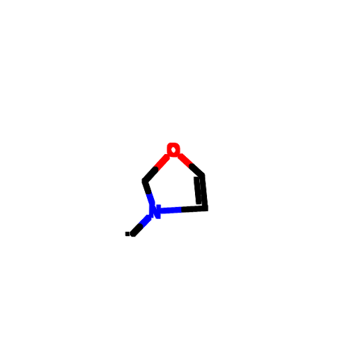 [CH2]N1C=COC1